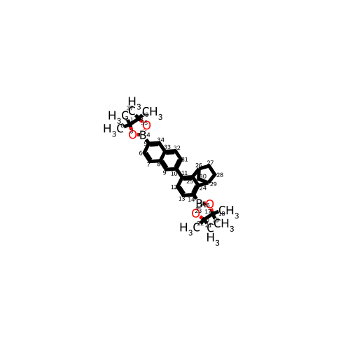 CC1(C)OB(c2ccc3cc(-c4ccc(B5OC(C)(C)C(C)(C)O5)c5c4C4CCC5C4)ccc3c2)OC1(C)C